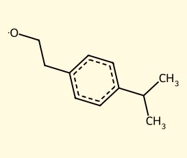 CC(C)c1ccc(CC[O])cc1